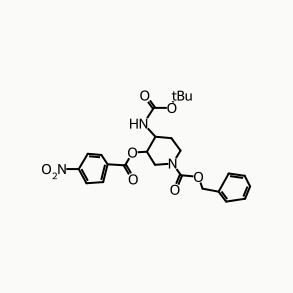 CC(C)(C)OC(=O)NC1CCN(C(=O)OCc2ccccc2)CC1OC(=O)c1ccc([N+](=O)[O-])cc1